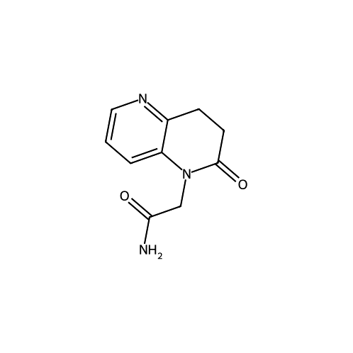 NC(=O)CN1C(=O)CCc2ncccc21